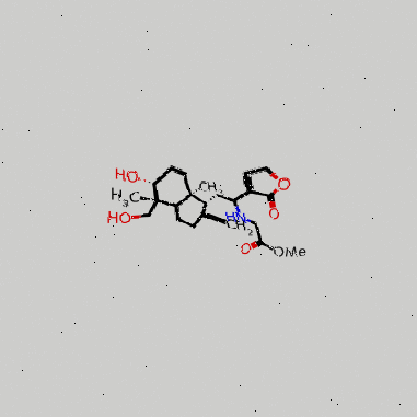 C=C1CCC2[C@](C)(CO)[C@H](O)CC[C@@]2(C)[C@@H]1CC(NCC(=O)OC)C1=CCOC1=O